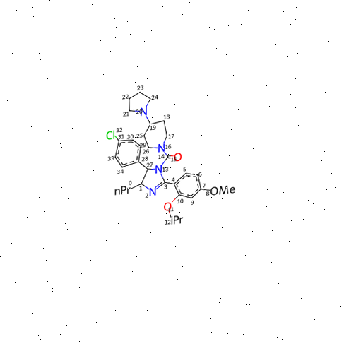 CCCC1N=C(c2ccc(OC)cc2OC(C)C)N(C(=O)N2CCC(N3CCCC3)CC2)C1c1ccc(Cl)cc1